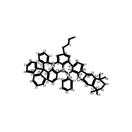 CCCCc1cc2c3c(c1)N1c4ccccc4C(c4ccccc4)(c4ccccc4)c4cccc(c41)B3N(c1ccccc1)c1c-2ccc2c1oc1cc3c(cc12)C(C)(C)CCC3(C)C